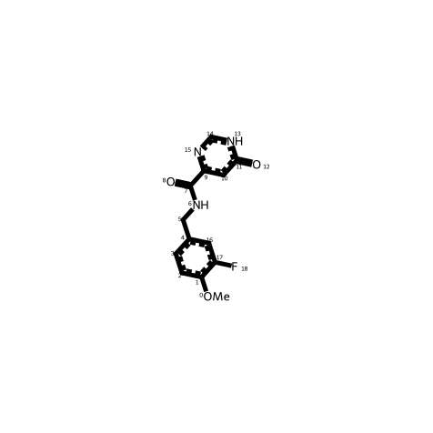 COc1ccc(CNC(=O)c2cc(=O)[nH]cn2)cc1F